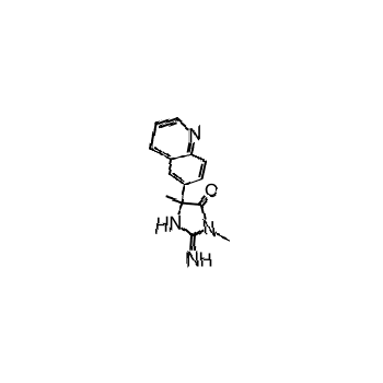 CN1C(=N)NC(C)(c2ccc3ncccc3c2)C1=O